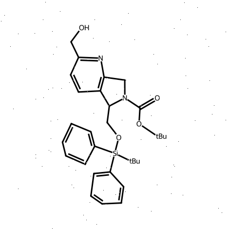 CC(C)(C)OC(=O)N1Cc2nc(CO)ccc2C1CO[Si](c1ccccc1)(c1ccccc1)C(C)(C)C